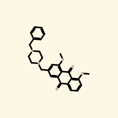 COc1cccc2c1C(=O)c1c(OC)cc(CN3CCN(Cc4ccccc4)CC3)cc1C2=O